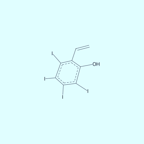 C=Cc1c(O)c(I)c(I)c(I)c1I